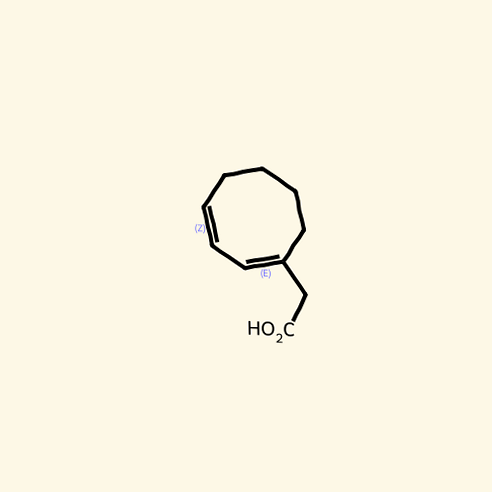 O=C(O)C/C1=C/C=C\CCCC1